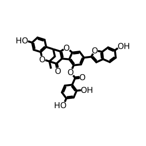 CC12CC(c3ccc(O)cc3O1)c1oc3cc(-c4cc5ccc(O)cc5o4)cc(OC(=O)c4ccc(O)cc4O)c3c1C2=O